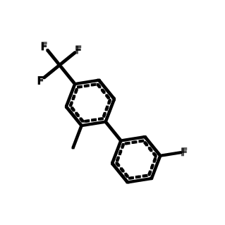 Cc1cc(C(F)(F)F)ccc1-c1cccc(F)c1